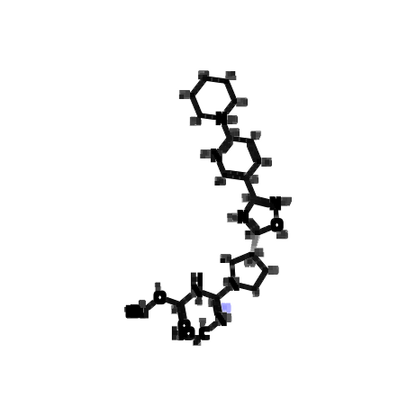 CC(C)(C)OC(=O)N/C(=N\C(=O)O)N1CC[C@@H](c2nc(-c3ccc(N4CCCCC4)nc3)no2)C1